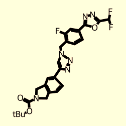 CC(C)(C)OC(=O)N1Cc2ccc(-c3cn(Cc4ccc(-c5nnc(C(F)F)o5)cc4F)nn3)cc2C1